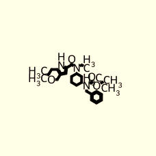 CCN(C(=O)c1cc2c([nH]1)CC(C)(C)OC2)[C@H]1CCC[C@@H](N(Cc2ccccc2)C(=O)OC(C)(C)C)C1